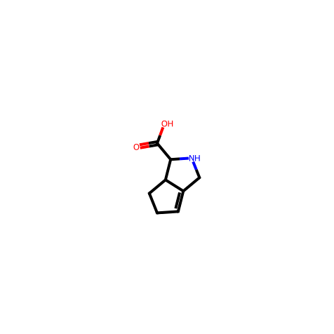 O=C(O)C1NCC2=CCCC21